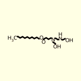 CCCCCCCCCCCOC(=O)CCCN(CCO)CCNCCO